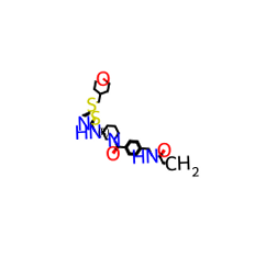 C=CC(=O)NCc1ccc(C(=O)N2CCC[C@@H](Nc3ncc(SCC4CCOCC4)s3)C2)cc1